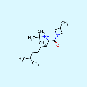 CC(C)CCCCC(NC(C)(C)C)C(=O)N1CC(C)C1